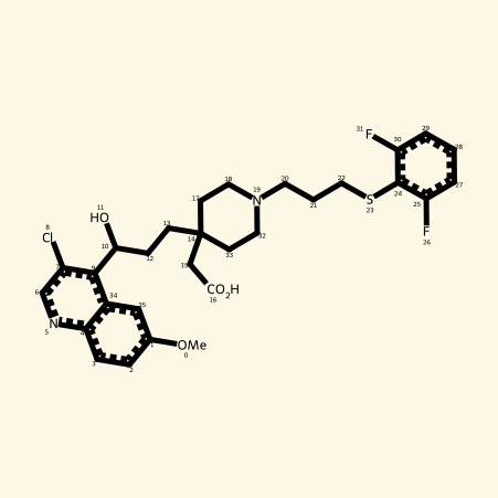 COc1ccc2ncc(Cl)c(C(O)CCC3(CC(=O)O)CCN(CCCSc4c(F)cccc4F)CC3)c2c1